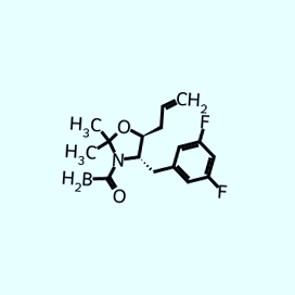 BC(=O)N1[C@@H](Cc2cc(F)cc(F)c2)[C@H](CC=C)OC1(C)C